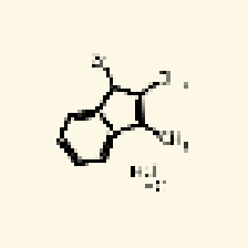 CC1=C(C)[C@H]([Zr])c2ccccc21.Cl.Cl